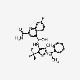 Cc1c(NC(O)c2cc(C(N)=O)nc3cc(F)ccc23)c(C(F)(F)F)nn1[C@H](C)c1ccccc1